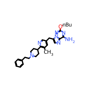 CCCCOc1nc(N)c2ncc(Cc3cnc(C4CCN(CCc5ccccc5)CC4)c(C)c3)n2n1